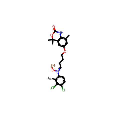 CC(=O)c1c([N+](=CCCCOc2cc(C)c3c(c2)C(C)(C)OC(=O)N3)OS)ccc(Cl)c1Cl